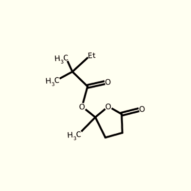 CCC(C)(C)C(=O)OC1(C)CCC(=O)O1